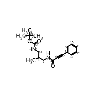 CC(CNC(=O)C#Cc1ccccc1)CNC(=O)OC(C)(C)C